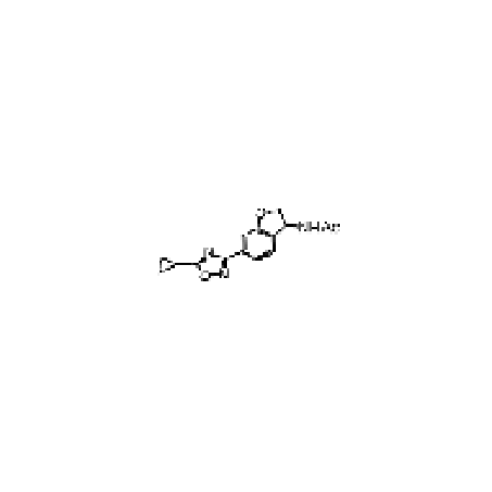 CC(=O)NC1COc2cc(-c3noc(C4CC4)n3)ccc21